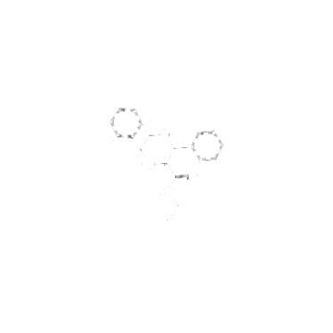 CCOC(=O)C1OCCOC1c1ccccc1.[c]1ccccc1